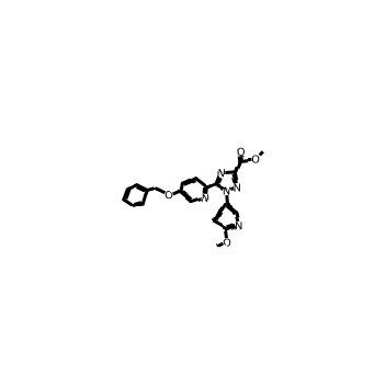 COC(=O)c1nc(-c2ccc(OCc3ccccc3)cn2)n(-c2ccc(OC)nc2)n1